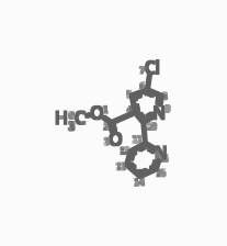 COC(=O)c1cc(Cl)cnc1-c1ccccn1